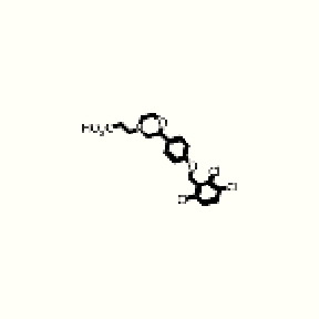 O=C(O)CCN1CCOC(c2ccc(OCc3c(Cl)ccc(Cl)c3Cl)cc2)C1